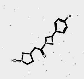 N#CN1CCC(CC(=O)N2CC(c3ccc(O)cc3)C2)C1